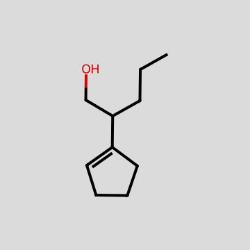 CCCC(CO)C1=CCCC1